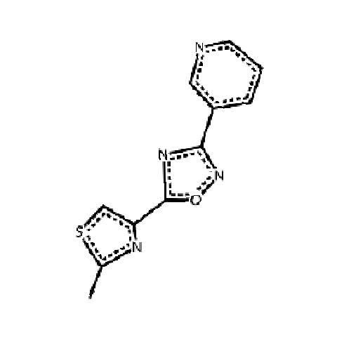 Cc1nc(-c2nc(-c3cccnc3)no2)cs1